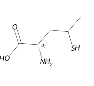 CC(S)C[C@H](N)C(=O)O